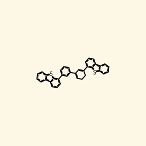 C1=C(c2cccc(-c3cccc4c3sc3ccccc34)c2)C=C(c2cccc3c2sc2ccccc23)CC1